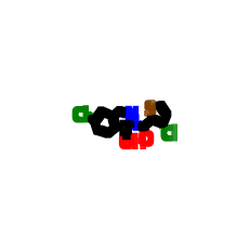 O=C(c1sccc1Cl)N1N=Cc2cc(Cl)ccc2B1O